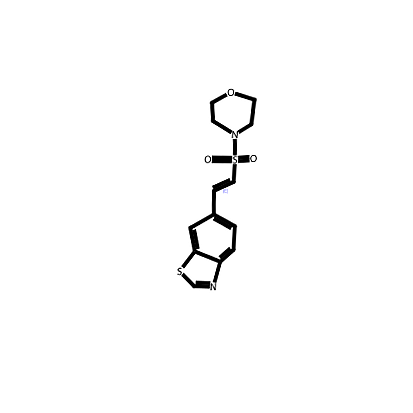 O=S(=O)(/C=C/c1ccc2ncsc2c1)N1CCOCC1